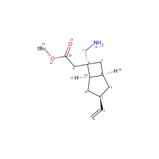 C=C[C@@H]1C[C@@H]2C[C@](CN)(CC(=O)OC(C)(C)C)[C@@H]2C1